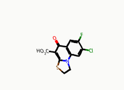 O=C(O)c1c2n(c3cc(Cl)c(F)cc3c1=O)CCS2